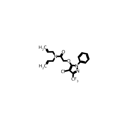 C=CCN(CC=C)C(=O)COc1c(Cl)c(C(F)(F)F)nn1-c1ccccc1